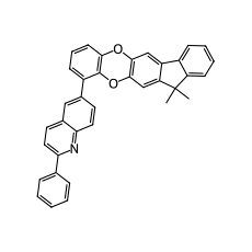 CC1(C)c2ccccc2-c2cc3c(cc21)Oc1c(cccc1-c1ccc2nc(-c4ccccc4)ccc2c1)O3